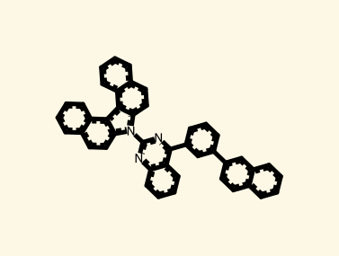 c1cc(-c2ccc3ccccc3c2)cc(-c2nc(-n3c4ccc5ccccc5c4c4c5ccccc5ccc43)nc3ccccc23)c1